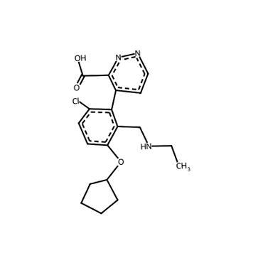 CCNCc1c(OC2CCCC2)ccc(Cl)c1-c1ccnnc1C(=O)O